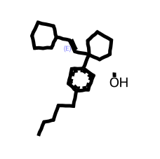 CCCCCc1ccc(C2(/C=C/C3CCCCC3)CCCCC2)cc1.CO